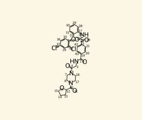 O=C(NCC(=O)N1CCN(C(=O)C2CCCO2)CC1)c1ccc(S(=O)(=O)Nc2ccccc2Oc2ccc(Cl)cc2Cl)cc1